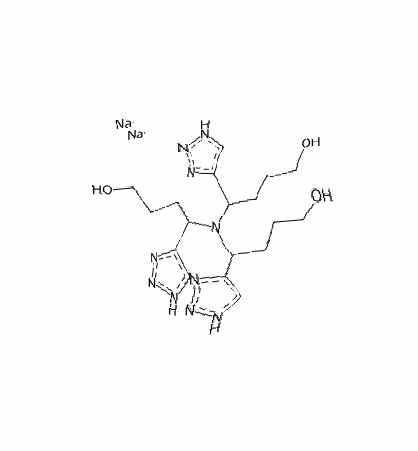 OCCCC(c1c[nH]nn1)N(C(CCCO)c1c[nH]nn1)C(CCCO)c1c[nH]nn1.[Na].[Na]